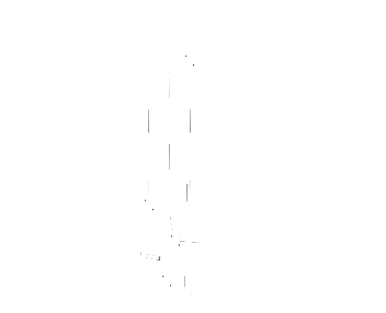 NC(=O)n1c[c]c2cc(-c3ccc(CN4CCC(F)CC4)cc3)cnc21